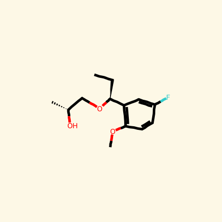 CC[C@H](OC[C@@H](C)O)c1cc(F)ccc1OC